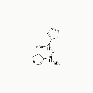 CCCC[SiH](O[SiH](CCCC)C1=CC=CC1)C1=CC=CC1